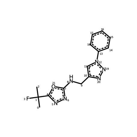 CC(C)(F)c1nnc(NCc2cn(-c3ccccc3)nn2)o1